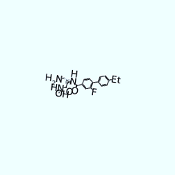 CCc1ccc(-c2ccc(C(=O)N[C@@H](CN)C(=O)NO)cc2F)cc1